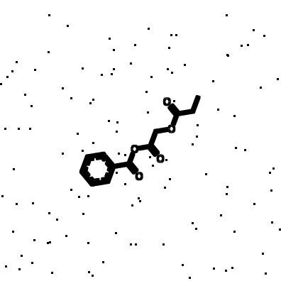 CCC(=O)OCC(=O)OC(=O)c1ccccc1